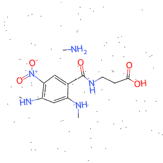 CN.CNc1cc(NC)c([N+](=O)[O-])cc1C(=O)NCCC(=O)O